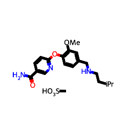 COc1cc(CNCCC(C)C)ccc1Oc1ccc(C(N)=O)cn1.CS(=O)(=O)O